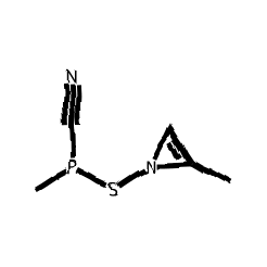 CC1=CN1SP(C)C#N